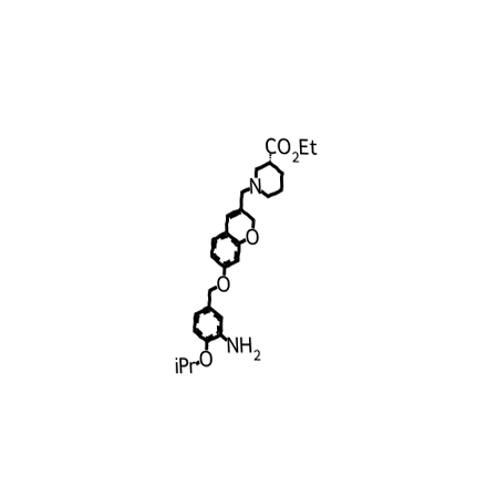 CCOC(=O)[C@@H]1CCCN(CC2=Cc3ccc(OCc4ccc(OC(C)C)c(N)c4)cc3OC2)C1